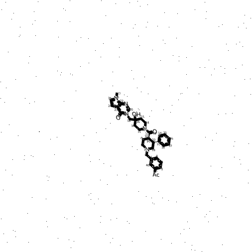 CC(=O)c1cccc(CN2CC[C@@H](C(=O)N3CCC(O)(Cn4cnc5c(ccn5C)c4=O)CC3)[C@H](c3ccccc3)C2)c1